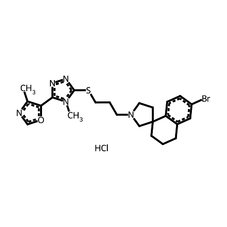 Cc1ncoc1-c1nnc(SCCCN2CCC3(CCCc4cc(Br)ccc43)C2)n1C.Cl